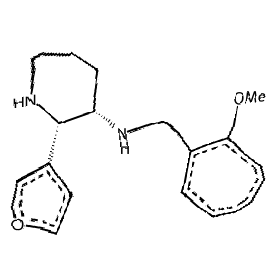 COc1ccccc1CN[C@H]1CCCN[C@H]1c1ccoc1